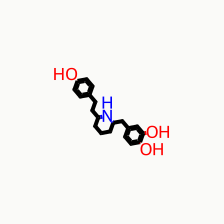 Oc1ccc(CCC2CCCC(Cc3ccc(O)c(O)c3)N2)cc1